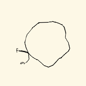 CC(C)C1(F)CCCCCCCCCCCCC1